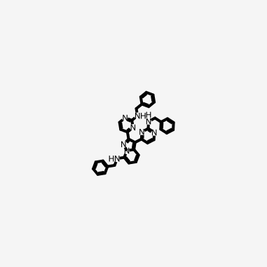 c1ccc(CNc2nccc(-c3nn4c(NCc5ccccc5)cccc4c3-c3ccnc(NCc4ccccc4)n3)n2)cc1